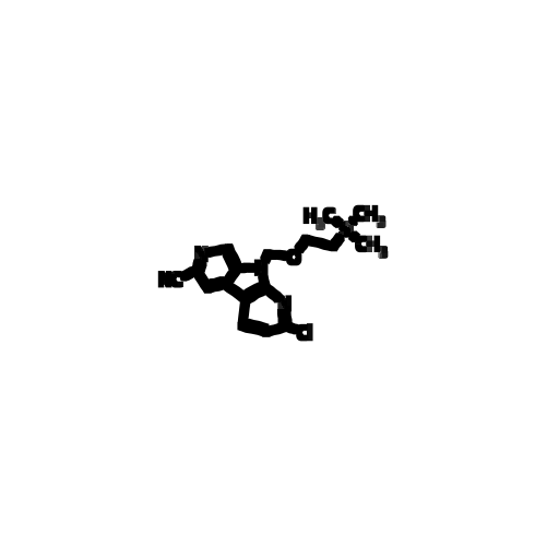 C[Si](C)(C)CCOCn1c2cnc(C#N)cc2c2ccc(Cl)nc21